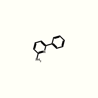 Pc1cccc(-c2ccccc2)n1